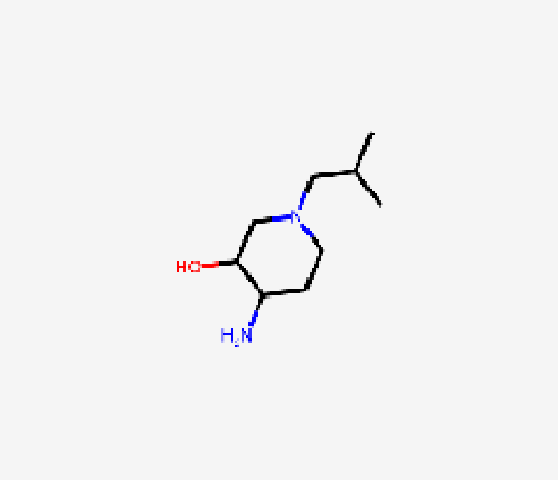 C[C](C)CN1CCC(N)C(O)C1